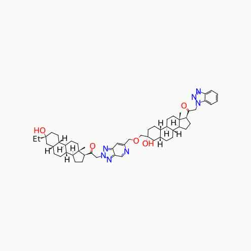 CC[C@@]1(O)CC[C@H]2[C@H](CC[C@@H]3[C@@H]2CC[C@]2(C)[C@@H](C(=O)Cn4nc5cnc(COC[C@@]6(O)CC[C@H]7[C@H](CC[C@@H]8[C@@H]7CC[C@]7(C)[C@@H](C(=O)Cn9nnc%10ccccc%109)CC[C@@H]87)C6)cc5n4)CC[C@@H]32)C1